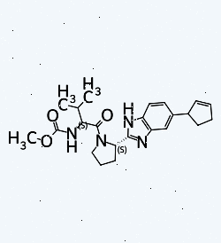 COC(=O)N[C@H](C(=O)N1CCC[C@H]1c1nc2cc(C3C=CCC3)ccc2[nH]1)C(C)C